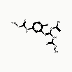 C=C(CC)O/C(=N\c1cc(NC(=O)OC(C)(C)C)ccc1F)NC(=O)OC(C)(C)C